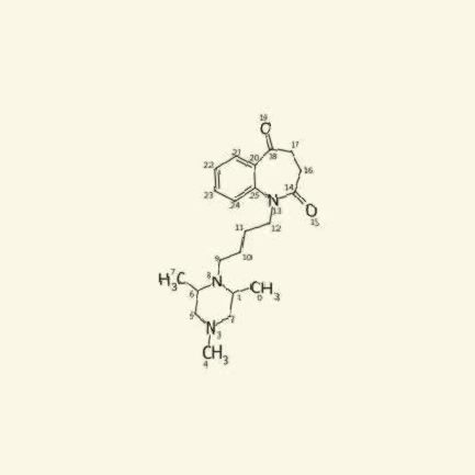 CC1CN(C)CC(C)N1CCCCN1C(=O)CCC(=O)c2ccccc21